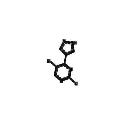 Clc1ncc(Cl)c(-c2cn[nH]c2)n1